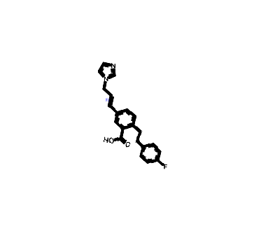 O=C(O)c1cc(/C=C/Cn2ccnc2)ccc1CCc1ccc(F)cc1